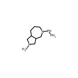 PPN1CCCC2CN(P)CC2C1